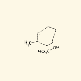 CC1=CCCCC1.O=C(O)O